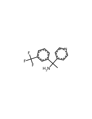 CC(N)(c1ccncc1)c1cccc(C(F)(F)F)c1